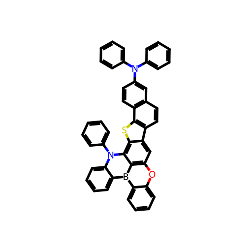 c1ccc(N(c2ccccc2)c2ccc3c(ccc4c5cc6c7c(c5sc34)N(c3ccccc3)c3ccccc3B7c3ccccc3O6)c2)cc1